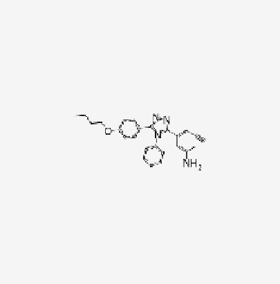 C#C/C=C(\C=C(/C)N)c1nnc(-c2ccc(OCCCC)cc2)n1-c1ccccc1